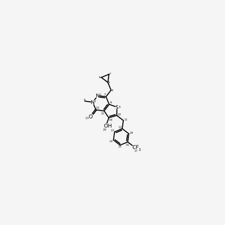 Cn1nc(CC2CC2)c2sc(Cc3cccc(C(F)(F)F)c3)c(O)c2c1=O